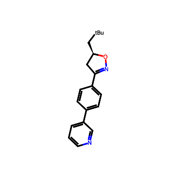 CC(C)(C)C[C@@H]1CC(c2ccc(-c3cccnc3)cc2)=NO1